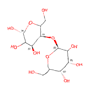 OCC1O[C@@H](O[C@@H]2C(CO)O[C@@H](O)C(O)[C@@H]2O)C(O)[C@H](O)[C@@H]1O